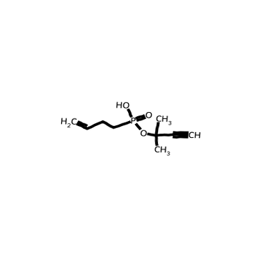 C#CC(C)(C)OP(=O)(O)CCC=C